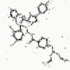 C=CCN(CC=C)Cc1ccc(C(=O)OCO[C@@](Cn2cncn2)(c2ccc(F)cc2F)[C@@H](C)c2nc(-c3ccc(C#N)cc3)cs2)cc1